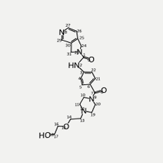 O=C(Nc1ccc(C(=O)N2CCN(CCOCCO)CC2)cc1)N1Cc2ccncc2C1